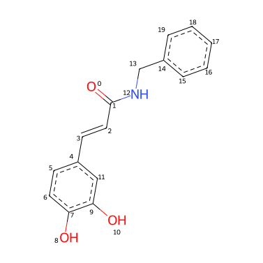 O=C(C=Cc1ccc(O)c(O)c1)NCc1ccccc1